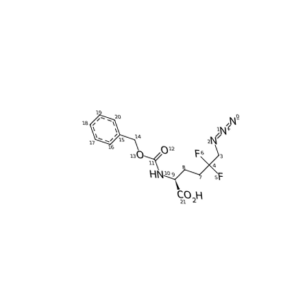 [N-]=[N+]=NCC(F)(F)CC[C@H](NC(=O)OCc1ccccc1)C(=O)O